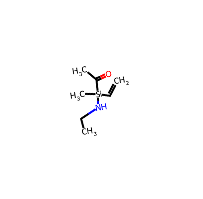 C=C[Si](C)(NCC)C(C)=O